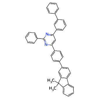 CC1(C)c2ccccc2-c2ccc(-c3ccc(-c4cc(-c5cccc(-c6ccccc6)c5)nc(-c5ccccc5)n4)cc3)cc21